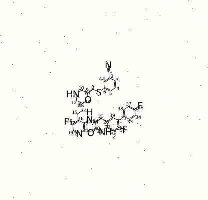 N#Cc1cccc(SC[C@@H]2CNC[C@@H](CCc3c(F)cncc3N[C@@H](Cc3ccc(F)c(-c4ccc(F)cc4)c3)C(N)=O)O2)c1